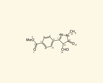 COC(=O)c1ccc(C2=NN(C)C(=O)C2C=O)cc1